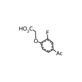 CC(=O)c1ccc(OCC(=O)O)c(F)c1